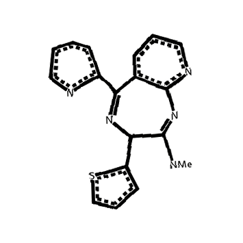 CNC1=Nc2ncccc2C(c2ccccn2)=NC1c1cccs1